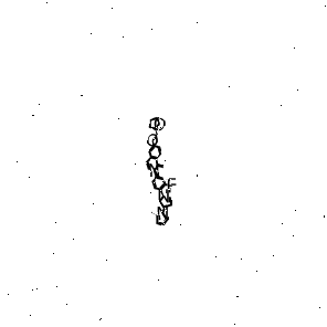 C=C1c2ccc(OC[C@H]3CCCO3)cc2C=CN1c1ccc(N2CCC(N3CCC[C@@H]3C)C2)c(F)c1